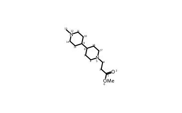 COC(=O)CCN1CCC(C2CCN(C)CC2)CC1